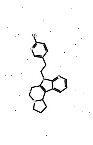 FC(F)(F)c1ccc(CCn2c3c(c4cccnc42)C2CCCN2CC3)cn1